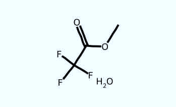 COC(=O)C(F)(F)F.O